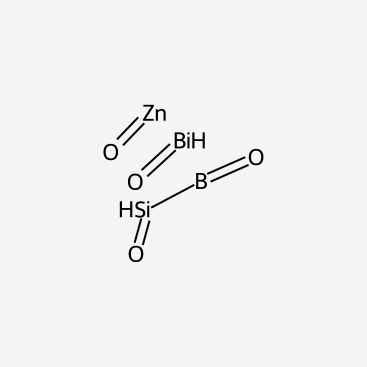 O=B[SiH]=O.[O]=[BiH].[O]=[Zn]